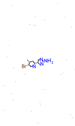 Cc1cc(-c2cnc(N)nc2)ncc1Br